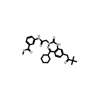 COC(=O)c1cccc(NC(=O)CN2N=C(C3CCCCC3)c3ccc(CC(=O)C(C)(C)C)cc3NC2=O)c1